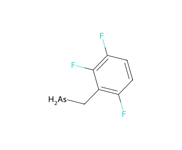 Fc1ccc(F)c(C[AsH2])c1F